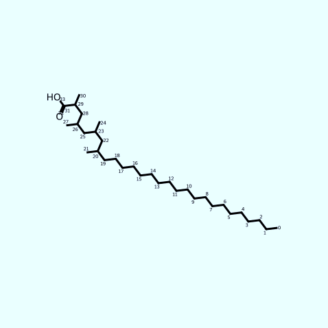 CCCCCCCCCCCCCCCCCCCCC(C)CC(C)CC(C)CC(C)C(=O)O